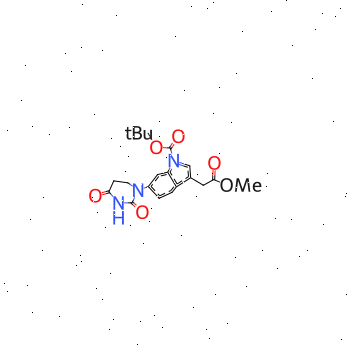 COC(=O)Cc1cn(C(=O)OC(C)(C)C)c2cc(N3CCC(=O)NC3=O)ccc12